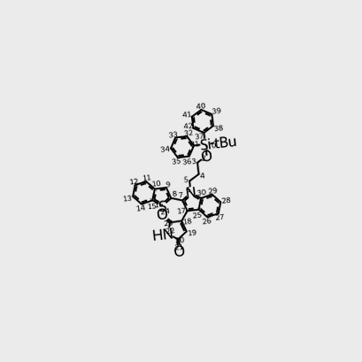 CC(C)(C)[Si](OCCCn1c(-c2cc3ccccc3s2)c(C2=CC(=O)NC2=O)c2ccccc21)(c1ccccc1)c1ccccc1